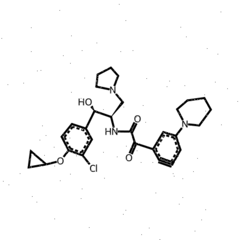 O=C(N[C@H](CN1CCCC1)[C@H](O)c1ccc(OC2CC2)c(Cl)c1)C(=O)c1c#ccc(N2CCCCC2)c1